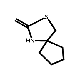 C=C1NC2(CCCC2)CS1